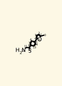 Cc1ccc(-c2ccc(C(=S)CN)cc2)o1